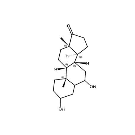 C[C@]12CCC(O)CC1C(O)C[C@@H]1[C@H]2CC[C@]2(C)C(=O)CC[C@@H]12